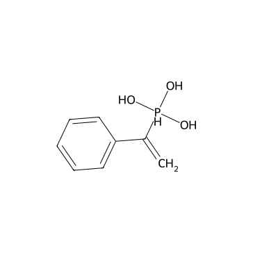 C=C(c1ccccc1)[PH](O)(O)O